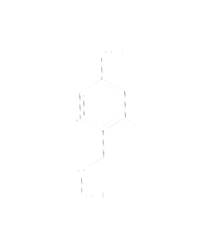 O=C(O)OCc1ccc(C(=O)O)cc1